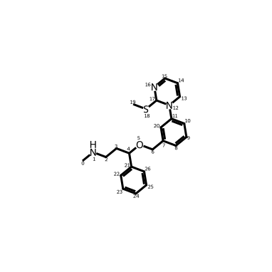 CNCCC(OCc1cccc(N2C=CC=NC2SC)c1)c1ccccc1